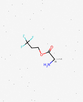 C[C@H](N)C(=O)OCCC(F)(F)F